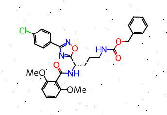 COc1cccc(OC)c1C(=O)N[C@@H](CCCNC(=O)OCc1ccccc1)c1nc(-c2ccc(Cl)cc2)no1